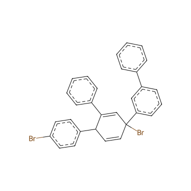 Brc1ccc(C2C=CC(Br)(c3cccc(-c4ccccc4)c3)C=C2c2ccccc2)cc1